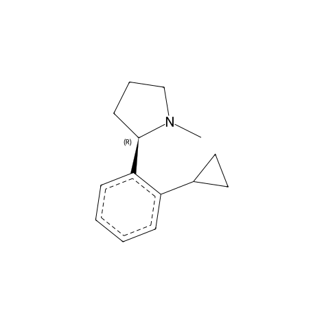 CN1CCC[C@@H]1c1ccccc1C1CC1